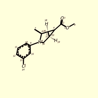 COC(=O)C1[C@@H]2C(C)N(c3cccc(Cl)c3)C[C@H]12